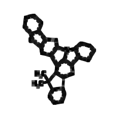 CC1(C)c2ccccc2-c2cc3c4ccccc4n4c5cc6c(cc5c(c21)c34)oc1ccccc16